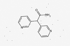 NC(=O)C(c1cccnc1)c1cccnc1